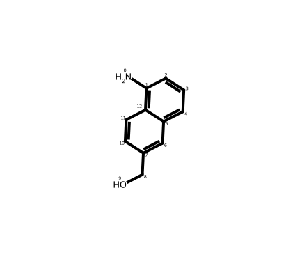 Nc1cccc2cc(CO)ccc12